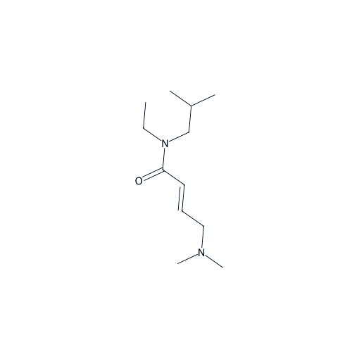 CCN(CC(C)C)C(=O)/C=C/CN(C)C